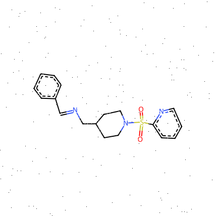 O=S(=O)(c1ccccn1)N1CCC(C/N=C/c2ccccc2)CC1